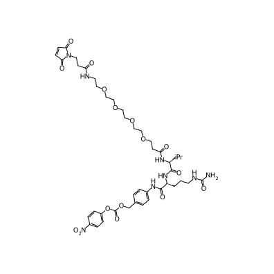 CC(C)[C@H](NC(=O)CCOCCOCCOCCOCCNC(=O)CCN1C(=O)C=CC1=O)C(=O)N[C@@H](CCCNC(N)=O)C(=O)Nc1ccc(COC(=O)Oc2ccc([N+](=O)[O-])cc2)cc1